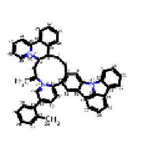 C=C1CC2C(CCc3cc4c(cc3-c3ccc(-c5ccccc5C)c[n+]31)c1cccc3c5ccccc5n4c31)c1ccccc1-c1cccc[n+]12